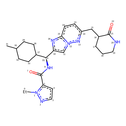 CCn1nccc1C(=O)N[C@H](c1cn2nc(CC3CCCNC3=O)ccc2n1)C1CCC(C)CC1